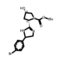 CC(C)(C)OC(=O)N1C[C@@H](O)C[C@H]1C1=NCC(c2ccc(Br)cc2)N1